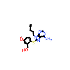 C#CCCCn1c(Sc2ccc(OC)cc2CO)nc2c(N)ncnc21